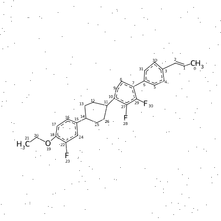 C/C=C/c1ccc(-c2ccc(C3CCC(c4ccc(OCC)c(F)c4)CC3)c(F)c2F)cc1